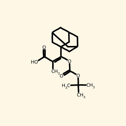 CC(C(=O)O)=C(OC(=O)OC(C)(C)C)C12CC3CC(CC(C3)C1)C2